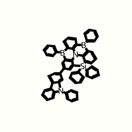 c1ccc(B2c3cccc4c3N3c5c2cccc5[Si](c2ccccc2)(c2ccccc2)c2cc(-c5ccc6c7ccccc7n(-c7ccccc7)c6c5)cc(c23)B4c2ccccc2)cc1